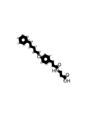 O=C(O)CCNC(=O)CCc1ccc(OCCCCCc2ccccc2)cc1